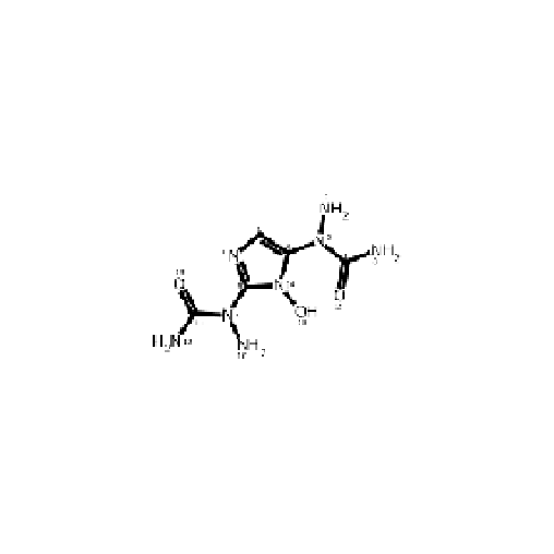 NC(=O)N(N)c1cnc(N(N)C(N)=O)n1O